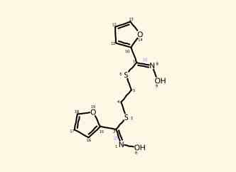 O/N=C(\SCCS/C(=N\O)c1ccco1)c1ccco1